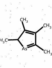 C[C]1[As]=C(C)C(C)=C1C